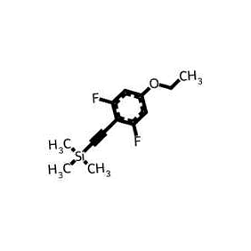 CCOc1cc(F)c(C#C[Si](C)(C)C)c(F)c1